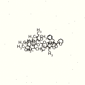 CC[C@H](C)[C@@H]([C@@H](CC(=O)N1CCC[C@H]1[C@H](OC)[C@@H](C)C(=O)N[C@@H](Cc1ccccc1)C(=O)N1CCCCO1)OC)N(C)C(=O)[C@@H](NC(=O)[C@H](C(C)O)N(C)C)C(C)C